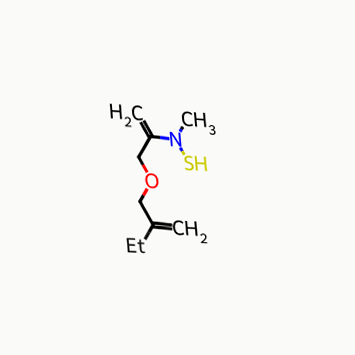 C=C(CC)COCC(=C)N(C)S